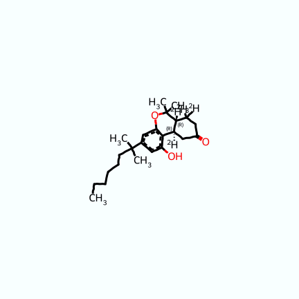 [2H]C1([2H])CC(=O)C[C@@]2([2H])c3c(O)cc(C(C)(C)CCCCCC)cc3OC(C)(C)[C@]12[2H]